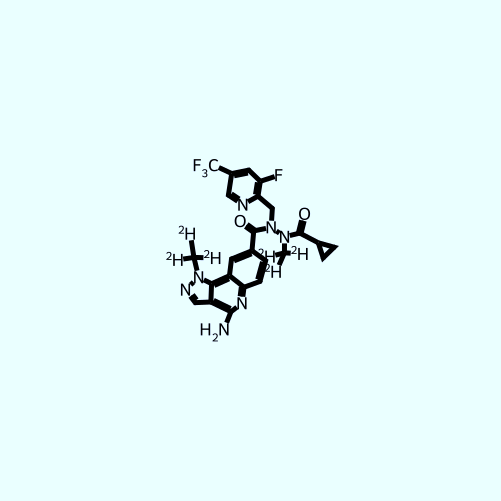 [2H]C([2H])([2H])N(C(=O)C1CC1)N(Cc1ncc(C(F)(F)F)cc1F)C(=O)c1ccc2nc(N)c3cnn(C([2H])([2H])[2H])c3c2c1